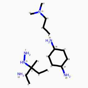 CCC(C)(CC)NN.CCCN(C)C.N.NC1CCC(N)CC1